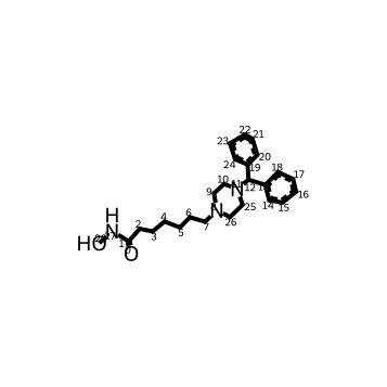 O=C(CCCCCCN1CCN(C(c2ccccc2)c2ccccc2)CC1)NO